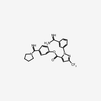 N=C(N)c1cccc(-n2nc(C(F)(F)F)cc2C(=O)Oc2ccc(C(=N)N3CCCC3)cc2)c1